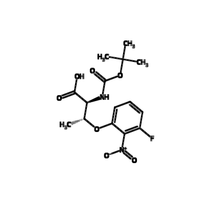 C[C@@H](Oc1cccc(F)c1[N+](=O)[O-])[C@H](NC(=O)OC(C)(C)C)C(=O)O